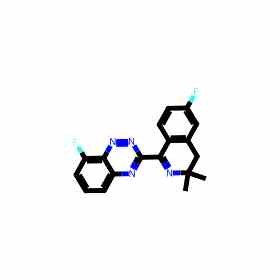 CC1(C)Cc2cc(F)ccc2C(c2nnc3c(F)cccc3n2)=N1